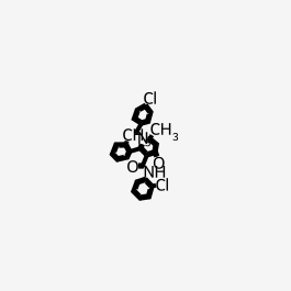 Cc1ccccc1-c1c(C(=O)Nc2ccccc2Cl)c(=O)cc(C)n1Cc1ccc(Cl)cc1